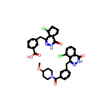 COC1CCN(C(=O)c2cccc(Cc3n[nH]c(=O)c4cccc(Cl)c34)c2)CC1.O=C(O)c1cccc(Cc2n[nH]c(=O)c3cccc(Cl)c23)c1